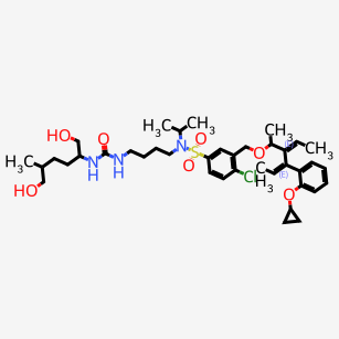 C/C=C(\C(=C/C)C(C)OCc1cc(S(=O)(=O)N(CCCCNC(=O)NC(CO)CCC(C)CO)C(C)C)ccc1Cl)c1ccccc1OC1CC1